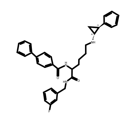 O=C(NC(CCCCN[C@@H]1C[C@H]1c1ccccc1)C(=O)NCc1cccc(F)c1)c1ccc(-c2ccccc2)cc1